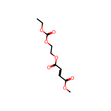 CCOC(=O)OCCOC(=O)C=CC(=O)OC